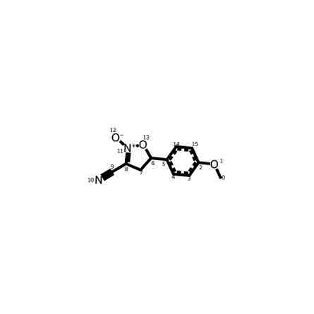 COc1ccc(C2CC(C#N)=[N+]([O-])O2)cc1